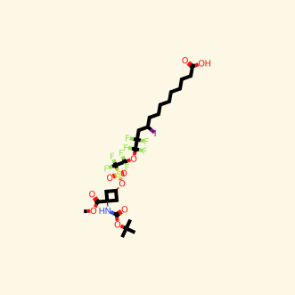 COC(=O)[C@]1(NC(=O)OC(C)(C)C)C[C@@H](OS(=O)(=O)C(F)(F)C(F)(F)OC(F)(F)C(F)(F)CC(I)CCCCCCCCC(=O)O)C1